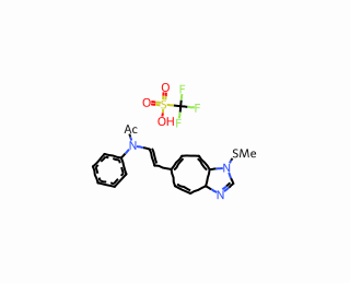 CSN1C=NC2C=CC(C=CN(C(C)=O)c3ccccc3)=CC=C21.O=S(=O)(O)C(F)(F)F